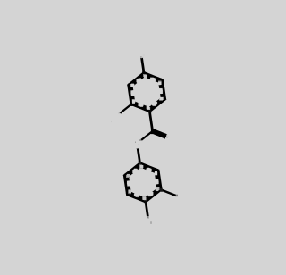 O=C(Nc1ccc(Br)c(F)c1)c1ccc(Br)cc1C(F)(F)F